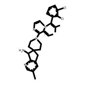 C/C=C1/C(N2CCC3(CC2)Cc2cc(C)cnc2C3N)=NC=CN1C(=C(C)C)c1cccc(Cl)c1Cl